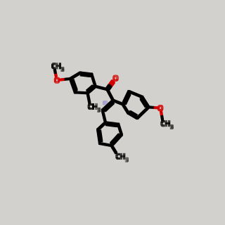 COc1ccc(/C(=C\c2ccc(C)cc2)C(=O)c2ccc(OC)cc2C)cc1